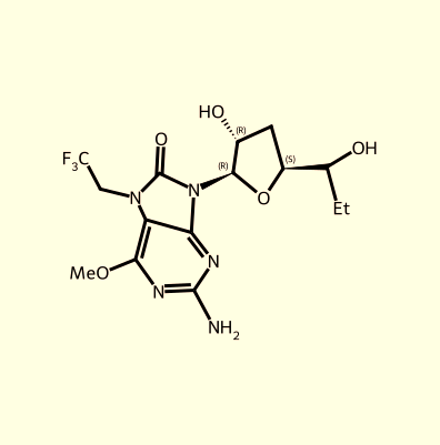 CCC(O)[C@@H]1C[C@@H](O)[C@H](n2c(=O)n(CC(F)(F)F)c3c(OC)nc(N)nc32)O1